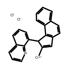 [Cl-].[Cl-].[Cr+2][C]1=Cc2ccc3ccccc3c2C1c1cccc2cccnc12